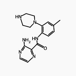 Cc1ccc(NC(=O)c2nccnc2N)c(N2CCNCC2)c1